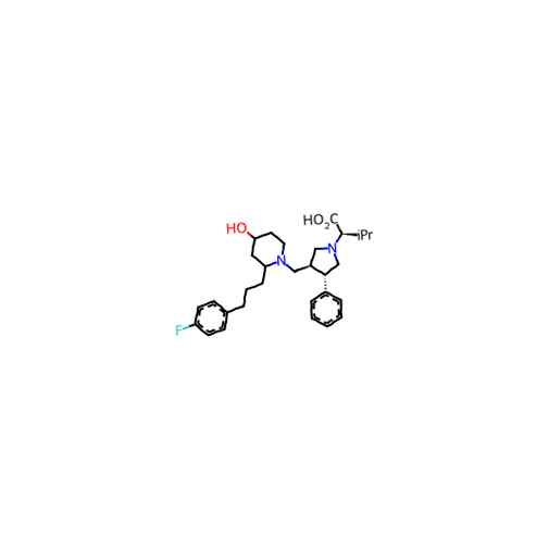 CC(C)[C@H](C(=O)O)N1C[C@H](CN2CCC(O)CC2CCCc2ccc(F)cc2)[C@@H](c2ccccc2)C1